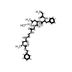 CC(C)CC(NC(=O)C(Cc1ccccc1)NC(=O)CN)C(=O)NCC(=O)NCCNC(=O)CN(C)C(=O)OCc1ccccc1.Cl